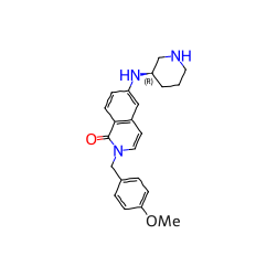 COc1ccc(Cn2ccc3cc(N[C@@H]4CCCNC4)ccc3c2=O)cc1